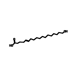 O=C(O)CCC/C=C/CCCCCCCCCCCCO